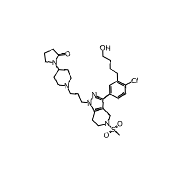 CS(=O)(=O)N1CCc2c(c(-c3ccc(Cl)c(CCCCO)c3)nn2CCCN2CCC(N3CCCC3=O)CC2)C1